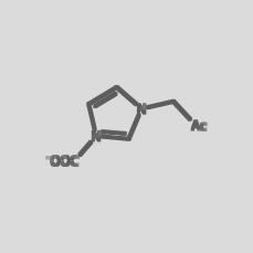 CC(=O)Cn1cc[n+](C(=O)[O-])c1